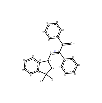 CC1(C)CN(/C=C(/C(=O)c2ccccc2)c2ccccc2)c2ccccc21